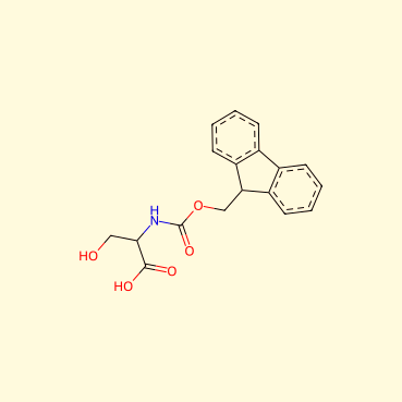 O=C(NC(CO)C(=O)O)OCC1c2ccccc2-c2ccccc21